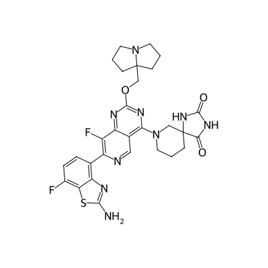 Nc1nc2c(-c3ncc4c(N5CCCC6(C5)NC(=O)NC6=O)nc(OCC56CCCN5CCC6)nc4c3F)ccc(F)c2s1